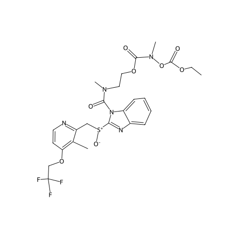 CCOC(=O)ON(C)C(=O)OCCN(C)C(=O)n1c([S+]([O-])Cc2nccc(OCC(F)(F)F)c2C)nc2ccccc21